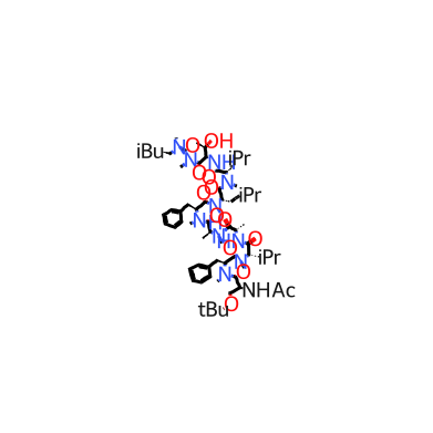 CC[C@H](C)CN(C)C(=O)N(C)C(=O)[C@@H](NC(=O)[C@H](CC(C)C)N(C)C(=O)[C@H](CC(C)C)NC(=O)[C@H](Cc1ccccc1)N(C)C(=O)[C@H](C)N(C)C(=O)[C@H](C)NC(=O)[C@H](C(C)C)N(C)C(=O)[C@H](Cc1ccccc1)N(C)C(=O)[C@H](COC(C)(C)C)NC(C)=O)[C@@H](C)O